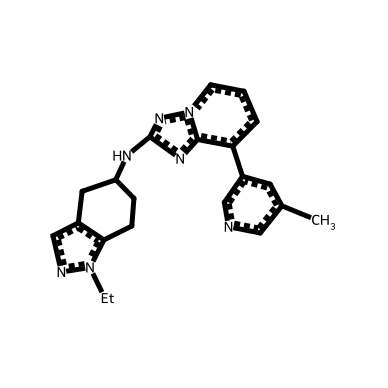 CCn1ncc2c1CCC(Nc1nc3c(-c4cncc(C)c4)cccn3n1)C2